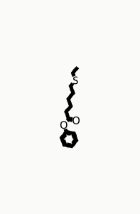 CCSCCCCCC(=O)Oc1ccccc1